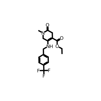 CCOC(=O)C1=C(NCc2ccc(C(F)(F)F)cc2)CN(C)C(=O)C1